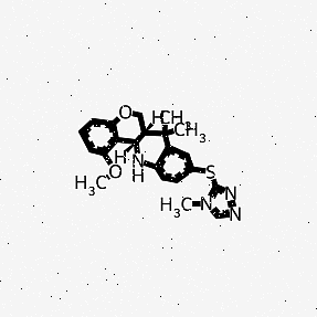 COc1cccc2c1[C@H]1Nc3ccc(Sc4nncn4C)cc3C(C)(C)[C@H]1CO2